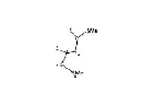 CSSC(C)SC(C)SC